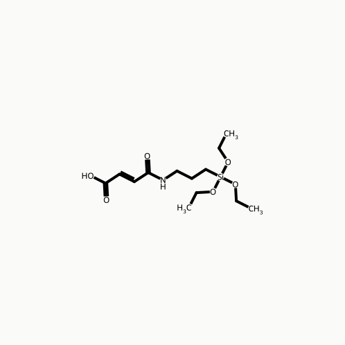 CCO[Si](CCCNC(=O)C=CC(=O)O)(OCC)OCC